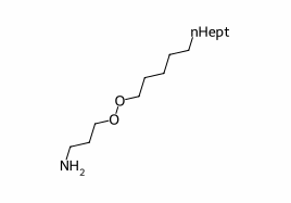 CCCCCCCCCCCCOOCCCN